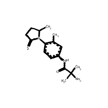 Cc1cc(NC(=O)C(C)(C)N)ccc1N1C(=S)CCC1C